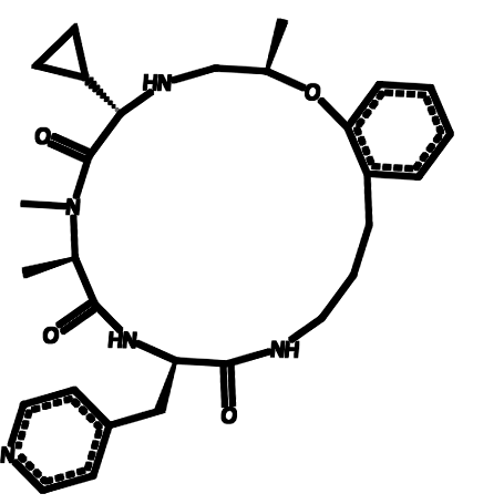 C[C@@H]1CN[C@@H](C2CC2)C(=O)N(C)[C@H](C)C(=O)N[C@H](Cc2ccncc2)C(=O)NCCCc2ccccc2O1